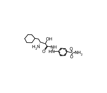 N[C@H](CC1CCCCC1)C(O)C(=O)NNc1ccc(S(N)(=O)=O)cc1